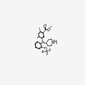 COC(=O)c1cc(N(c2ccccc2OC(F)(F)F)C2CCNCC2)c(C)cc1C